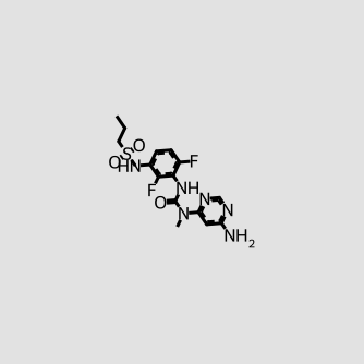 CCCS(=O)(=O)Nc1ccc(F)c(NC(=O)N(C)c2cc(N)ncn2)c1F